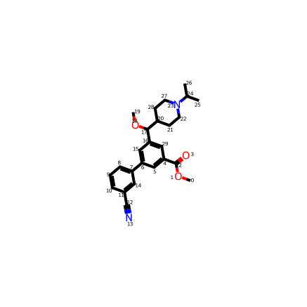 COC(=O)c1cc(-c2cccc(C#N)c2)cc(C(OC)C2CCN(C(C)C)CC2)c1